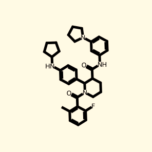 Cc1cccc(F)c1C(=O)N1CCCC(C(=O)Nc2cccc(N3CCCC3)c2)C1c1ccc(NC2CCCC2)cc1